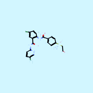 N=S(=O)(CCO)c1ccc(C(=O)Nc2ccc(Cl)cc2C(=O)Nc2ccc(Cl)cn2)cc1